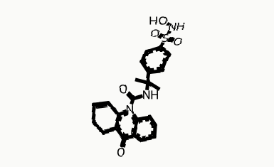 CC(C)(NC(=O)n1c2c(c(=O)c3ccccc31)CCC=C2)c1ccc(S(=O)(=O)NO)cc1